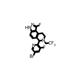 Fc1cc(Br)cnc1C1c2ccc3[nH]nc(F)c3c2CCN1CC(F)(F)F